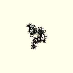 O=C1c2sc(-c3nc(Nc4cc5c(cc4C4CC4)CN(CC4CCO4)CC5)ncc3C(F)(F)F)cc2[S+]([O-])CCN1C1CC1